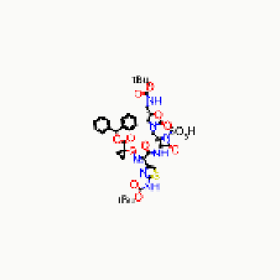 CC(C)(C)OC(=O)NC[C@@H]1CN(C[C@@H]2[C@H](NC(=O)/C(=N\OC3(C(=O)OC(c4ccccc4)c4ccccc4)CC3)c3csc(NC(=O)OC(C)(C)C)n3)C(=O)N2S(=O)(=O)O)C(=O)O1